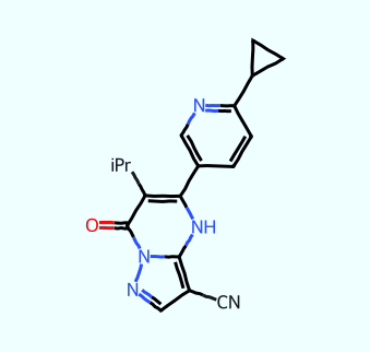 CC(C)c1c(-c2ccc(C3CC3)nc2)[nH]c2c(C#N)cnn2c1=O